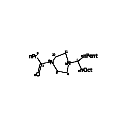 CCCCCCCCC(CCCCC)N1CCN(C(=O)CCC)CC1